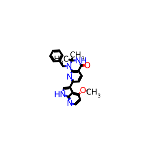 COc1ccnc2[nH]cc(-c3ccc4c(n3)N(Cc3ccccc3)C(C)(C)NC4=O)c12